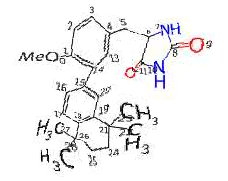 COc1ccc(CC2NC(=O)NC2=O)cc1-c1ccc2c(c1)C(C)(C)CCC2(C)C